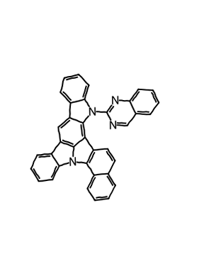 c1ccc2nc(-n3c4ccccc4c4cc5c6ccccc6n6c7c8ccccc8ccc7c(c43)c56)ncc2c1